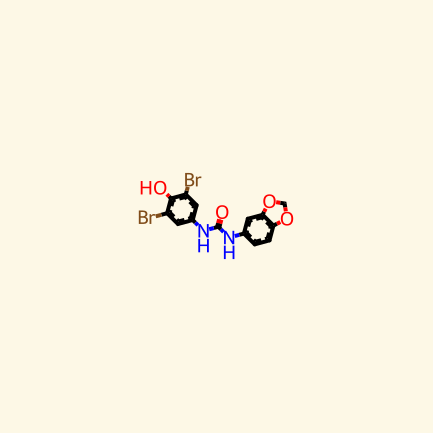 O=C(Nc1cc(Br)c(O)c(Br)c1)Nc1ccc2c(c1)OCO2